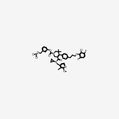 COc1nccc(CN(C(=O)C2=C(c3ccc(CCCOc4c(F)ccc(F)c4Cl)cc3)C(C)(C)CN(C(=O)Oc3cccc(CO[N+](=O)[O-])c3)C2)C2CC2)c1C